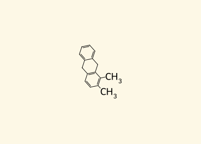 Cc1ccc2c(c1C)Cc1ccccc1C2